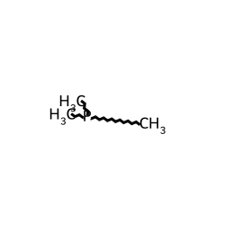 CCCCCCCCCCCCCCP(CCCC)CCCC